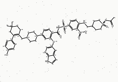 CC(=O)N=S1(=O)CCC(CNc2ccc(S(=O)(=O)NC(=O)c3ccc(N4CCN(CC5=C(c6ccc(Cl)cc6)CC(C)(C)CC5)CC4)cc3Oc3cnc4[nH]ccc4c3)cc2[N+](=O)[O-])CC1